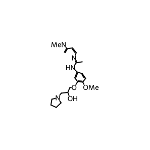 C=C(/C=C\N=C(/C)Nc1ccc(OC)c(OCC(O)CN2CCCC2)c1)NC